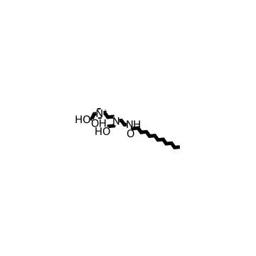 CCCCCCCCCCCC(=O)NCCN(CCO)CCC[N+](C)(C)CC(O)O